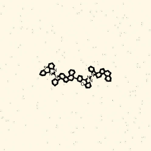 c1ccc2c(c1)Sc1cccc3nc(-n4c5ccccc5c5c6ccc7cc(-c8ccc9c(c8)Oc8cccc%10nc(-n%11c%12ccccc%12c%12c%13ccc%14ccc%15ccccc%15c%14c%13ccc%12%11)nc-9c8%10)c8ccccc8c7c6ccc54)nc-2c13